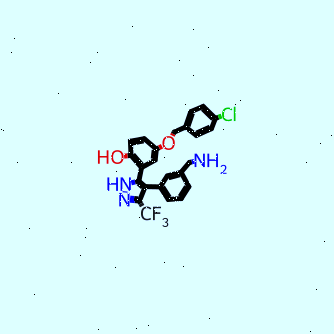 NCc1cccc(-c2c(C(F)(F)F)n[nH]c2-c2cc(OCc3ccc(Cl)cc3)ccc2O)c1